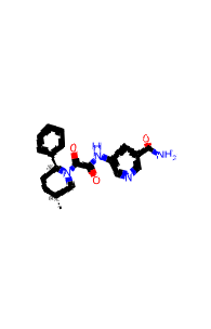 C[C@@H]1CC[C@@H](c2ccccc2)N(C(=O)C(=O)Nc2cncc(C(N)=O)c2)C1